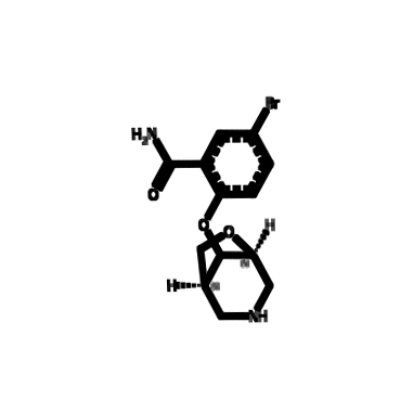 NC(=O)c1cc(Br)ccc1OC1[C@H]2CNC[C@@H]1OC2